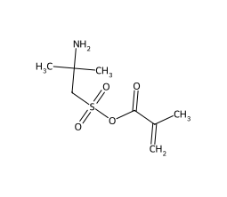 C=C(C)C(=O)OS(=O)(=O)CC(C)(C)N